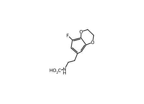 O=C(O)NCCc1cc(F)c2c(c1)OCCO2